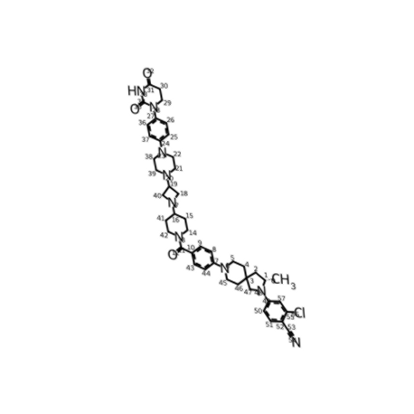 C[C@H]1CC2(CCN(c3ccc(C(=O)N4CCC(N5CC(N6CCN(c7ccc(N8CCC(=O)NC8=O)cc7)CC6)C5)CC4)cc3)CC2)CN1c1ccc(C#N)c(Cl)c1